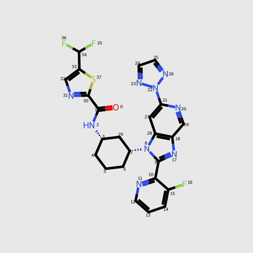 O=C(N[C@H]1CCC[C@@H](n2c(-c3ncccc3F)nc3cnc(-n4nccn4)cc32)C1)c1ncc(C(F)F)s1